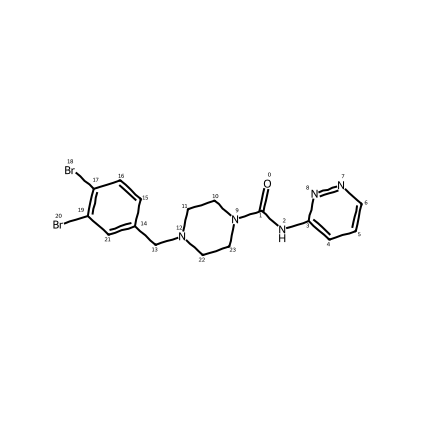 O=C(Nc1cccnn1)N1CCN(Cc2ccc(Br)c(Br)c2)CC1